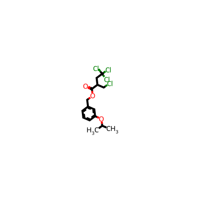 CC(C)Oc1cccc(COC(=O)C(CCl)CC(Cl)(Cl)Cl)c1